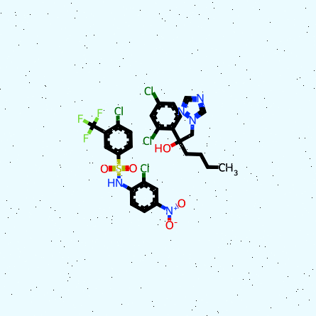 CCCCC(O)(Cn1cncn1)c1ccc(Cl)cc1Cl.O=[N+]([O-])c1ccc(NS(=O)(=O)c2ccc(Cl)c(C(F)(F)F)c2)c(Cl)c1